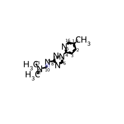 Cc1ccc(-n2cnc(/N=C/N(C)C)n2)nc1